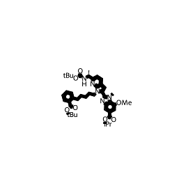 COc1cc(C(=O)OC(C)C)cc2nc(-c3cc4ccc([C@@H](C)NC(=O)OC(C)(C)C)nc4n3CCCCCc3ccccc3C(=O)OC(C)(C)C)n(C)c12